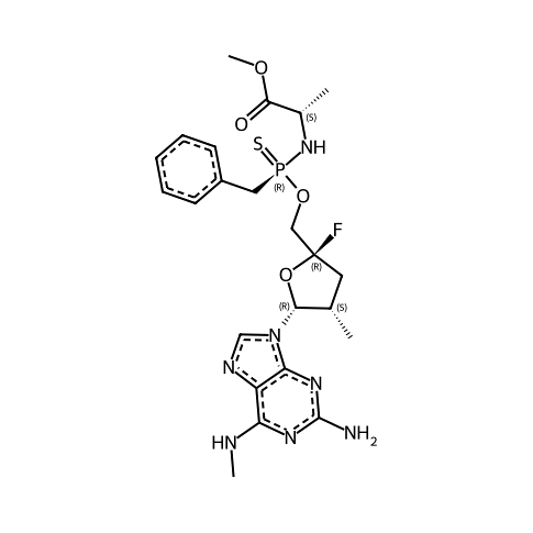 CNc1nc(N)nc2c1ncn2[C@@H]1O[C@](F)(CO[P@@](=S)(Cc2ccccc2)N[C@@H](C)C(=O)OC)C[C@@H]1C